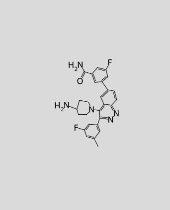 Cc1cc(F)cc(-c2nnc3ccc(-c4cc(F)cc(C(N)=O)c4)cc3c2N2CCC(N)CC2)c1